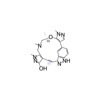 C[C@H]1CN(C)Cc2c(c(O)nn2C)/C=C\c2n[nH]c3ccc(cc23)-c2cnn(C)c2O1